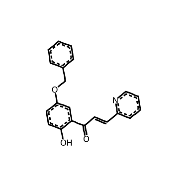 O=C(C=Cc1ccccn1)c1cc(OCc2ccccc2)ccc1O